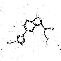 C=C(NCC(C)C)c1n[nH]c2ccc(-c3cnn(C)c3)cc12